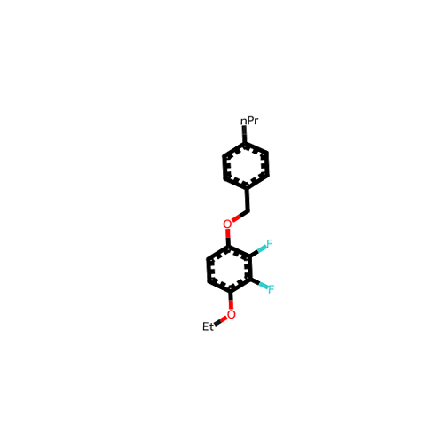 CCCc1ccc(COc2ccc(OCC)c(F)c2F)cc1